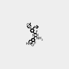 CC1CN(c2ccc(-c3nc(-c4cc(F)c5c(c4)CCNC5=O)c(N)nc3F)cc2CN2CCC2)CCO1